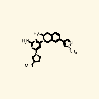 CN[C@@H]1CCN(c2cc(N3Cc4cc(-c5cnn(C)c5)ccc4CC3C)nc(N)n2)C1